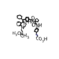 CN(C)CCN1CCn2c(c(C3CCCCC3)c3ccc(C(=O)NC4(C(=O)Nc5ccc(/C=C/C(=O)O)cc5)CCCC4)cc32)-c2ccccc21